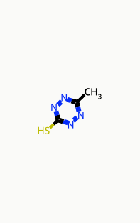 Cc1nnc(S)nn1